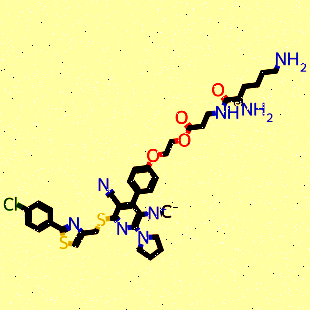 [C-]#[N+]c1c(N2CCCC2)nc(SCc2csc(-c3ccc(Cl)cc3)n2)c(C#N)c1-c1ccc(OCCOC(=O)CCNC(=O)[C@@H](N)CCCCN)cc1